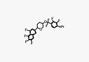 CCCc1ccc(C(F)(F)OC2CCC(c3cc(F)c4c(F)c(F)c(F)cc4c3)OC2)c(F)c1F